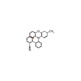 CC1C=CC2=C(C1)Oc1ccccc1N2c1ccccc1-c1ncccc1C#N